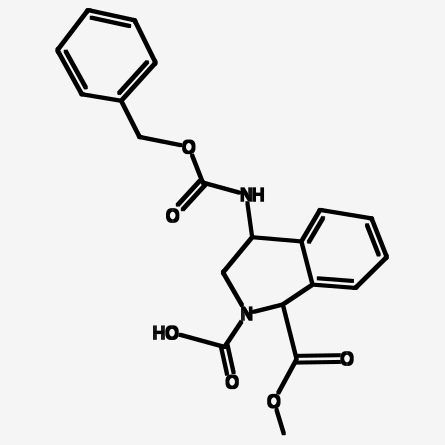 COC(=O)C1c2ccccc2C(NC(=O)OCc2ccccc2)CN1C(=O)O